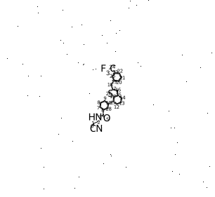 N#CCCNC(=O)c1cccc(-c2cccc3cc(Cc4cccc(C(F)(F)F)c4)sc23)c1